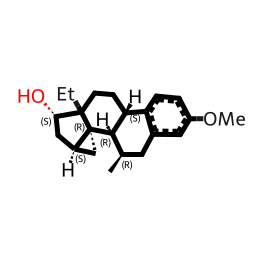 CCC12CC[C@@H]3c4ccc(OC)cc4C[C@@H](C)[C@H]3[C@]13C[C@H]3C[C@@H]2O